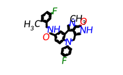 Cc1ccc(F)cc1CNC(=O)c1ccc2c(c1)-c1cn(C)c3c(=O)[nH]cc(c13)CN2c1ccc(F)cc1